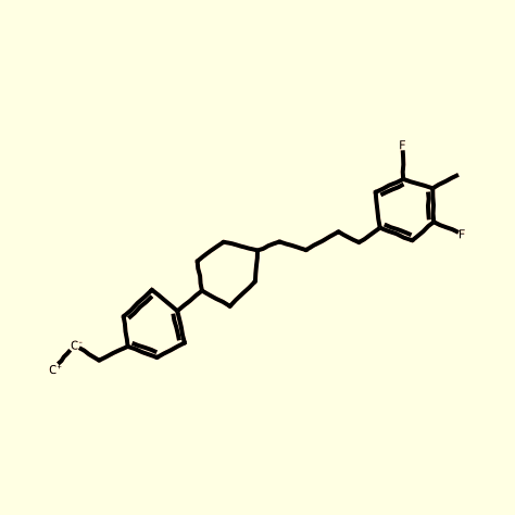 [CH2+][CH-]Cc1ccc(C2CCC(CCCCc3cc(F)c(C)c(F)c3)CC2)cc1